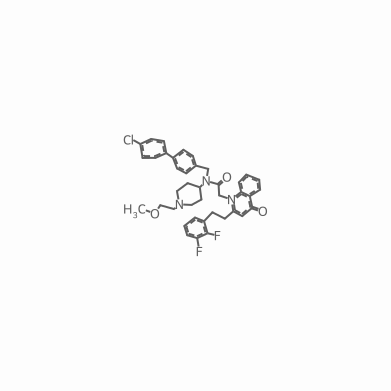 COCCN1CCC(N(Cc2ccc(-c3ccc(Cl)cc3)cc2)C(=O)Cn2c(CCc3cccc(F)c3F)cc(=O)c3ccccc32)CC1